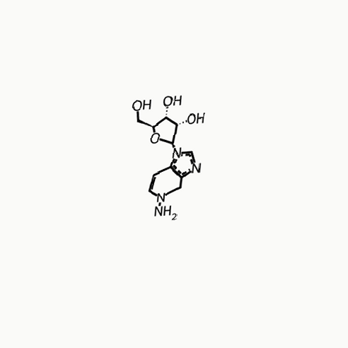 NN1C=Cc2c(ncn2[C@H]2O[C@@H](CO)[C@H](O)[C@@H]2O)C1